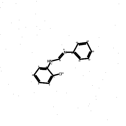 Clc1ccccc1N/C=N/c1ccccc1